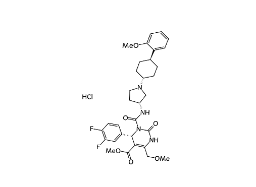 COCC1=C(C(=O)OC)[C@H](c2ccc(F)c(F)c2)N(C(=O)N[C@@H]2CCN([C@H]3CC[C@H](c4ccccc4OC)CC3)C2)C(=O)N1.Cl